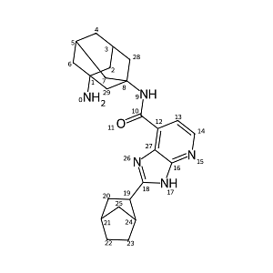 NC12CC3CC(C1)CC(NC(=O)c1ccnc4[nH]c(C5CC6CCC5C6)nc14)(C3)C2